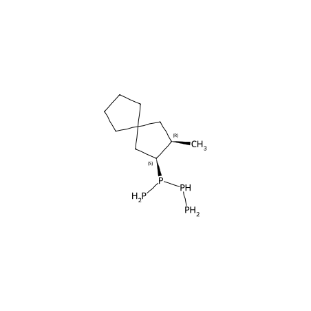 C[C@@H]1CC2(CCCC2)C[C@@H]1P(P)PP